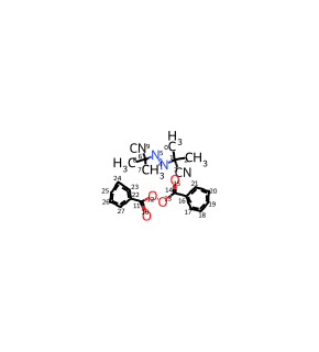 CC(C)(C#N)N=NC(C)(C)C#N.O=C(OOC(=O)c1ccccc1)c1ccccc1